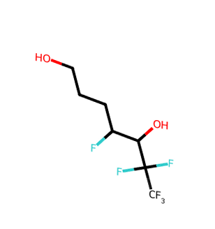 OCCCC(F)C(O)C(F)(F)C(F)(F)F